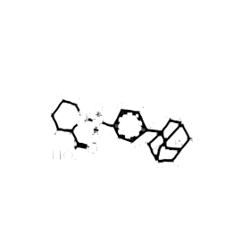 O=C(O)C1CCCCN1S(=O)(=O)c1ccc(C23CC4CC(CC(C4)C2)C3)cc1